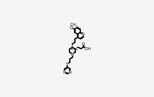 COc1ccc2nccc(CCC[C@@H]3CCN(CCCSc4cncnc4)C[C@@H]3CCC(=O)O)c2c1